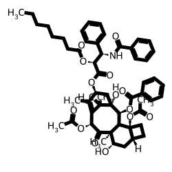 CCCCCCCC(=O)O[C@@H](C(=O)O[C@H]1C[C@@]2(O)[C@@H](OC(=O)c3ccccc3)C3[C@](C)(C(=O)[C@H](OC(C)=O)C(=C1C)C2(C)C)[C@@H](O)C[C@H]1CC[C@@]31OC(C)=O)[C@@H](NC(=O)c1ccccc1)c1ccccc1